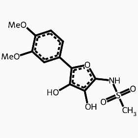 COc1ccc(-c2oc(NS(C)(=O)=O)c(O)c2O)cc1OC